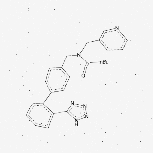 CCCCC(=O)N(Cc1ccc(-c2ccccc2-c2nnn[nH]2)cc1)Cc1cccnc1